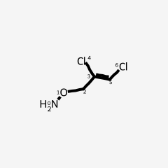 NOCC(Cl)=CCl